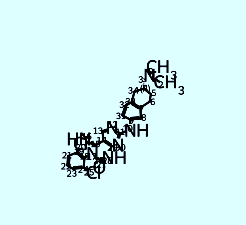 CN(C)C[C@@H]1CCc2cc(Nc3ncc4c(=N)n(-c5c(Cl)cccc5Cl)c(=O)[nH]c4n3)ccc2C1